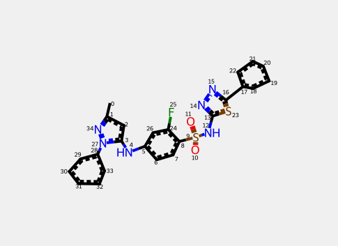 Cc1cc(Nc2ccc(S(=O)(=O)Nc3nnc(-c4ccccc4)s3)c(F)c2)n(-c2ccccc2)n1